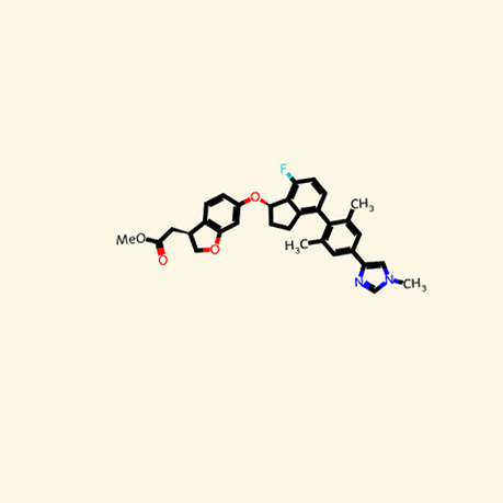 COC(=O)C[C@@H]1COc2cc(O[C@@H]3CCc4c(-c5c(C)cc(-c6cn(C)cn6)cc5C)ccc(F)c43)ccc21